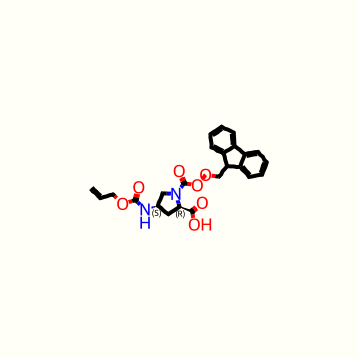 C=CCOC(=O)N[C@H]1C[C@H](C(=O)O)N(C(=O)OOCC2c3ccccc3-c3ccccc32)C1